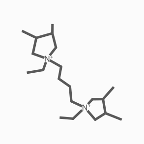 CC[N+]1(CCCC[N+]2(CC)CC(C)C(C)C2)CC(C)C(C)C1